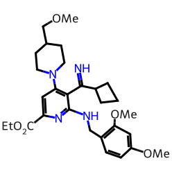 CCOC(=O)c1cc(N2CCC(COC)CC2)c(C(=N)C2CCC2)c(NCc2ccc(OC)cc2OC)n1